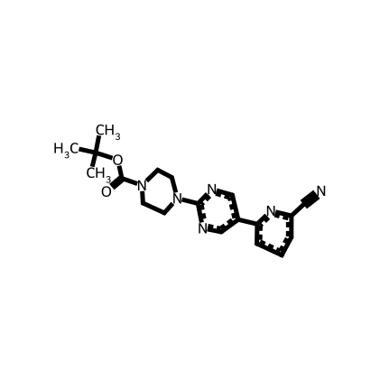 CC(C)(C)OC(=O)N1CCN(c2ncc(-c3cccc(C#N)n3)cn2)CC1